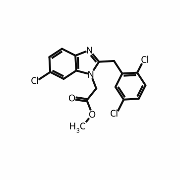 COC(=O)Cn1c(Cc2cc(Cl)ccc2Cl)nc2ccc(Cl)cc21